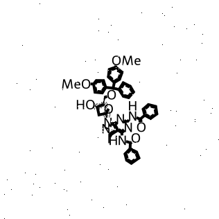 COc1ccc(C(OC[C@H]2O[C@@H](n3nc(I)c4c(NC(=O)c5ccccc5)nc(NC(=O)c5ccccc5)nc43)C[C@@H]2O)(c2ccccc2)c2ccc(OC)cc2)cc1